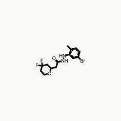 Cc1ccc(Br)cc1NNC(=O)CC1CC(F)(F)CCO1